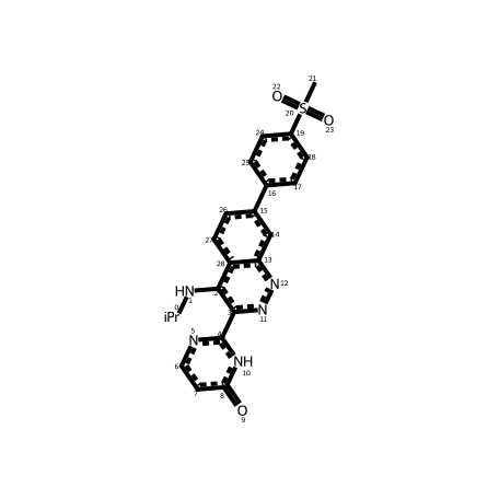 CC(C)Nc1c(-c2nccc(=O)[nH]2)nnc2cc(-c3ccc(S(C)(=O)=O)cc3)ccc12